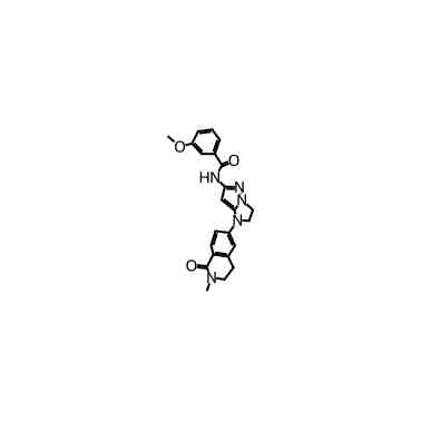 COc1cccc(C(=O)Nc2cc3n(n2)CCN3c2ccc3c(c2)CCN(C)C3=O)c1